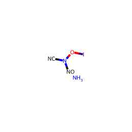 N.N#CN(N=O)OI